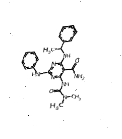 CC(Nc1nc(Nc2ccccc2)nc(NC(=O)N(C)C)c1C(N)=O)c1ccccc1